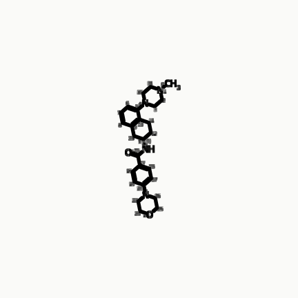 CN1CCN(c2cccc3c2CC[C@H](NC(=O)c2ccc(N4CCOCC4)cc2)C3)CC1